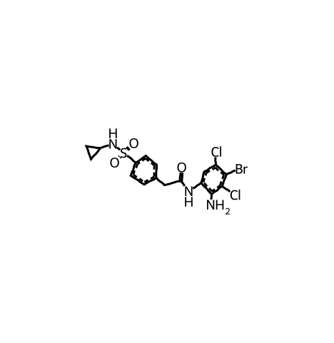 Nc1c(NC(=O)Cc2ccc(S(=O)(=O)NC3CC3)cc2)cc(Cl)c(Br)c1Cl